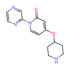 O=c1cc(OC2CCNCC2)ccn1-c1cnccn1